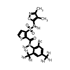 [2H]N(C(=O)c1sccc1S(=O)(=O)N([2H])c1onc(C)c1C)c1c(C(C)=O)cc(C([2H])([2H])[2H])cc1C([2H])([2H])[2H]